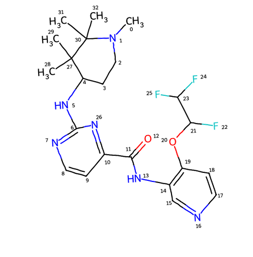 CN1CCC(Nc2nccc(C(=O)Nc3cnccc3OC(F)C(F)F)n2)C(C)(C)C1(C)C